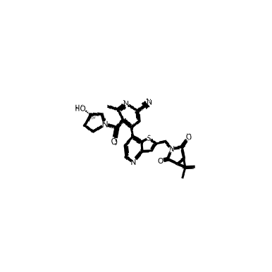 Cc1nc(C#N)cc(-c2ccnc3cc(CN4C(=O)C5C(C4=O)C5(C)C)sc23)c1C(=O)N1CC[C@H](O)C1